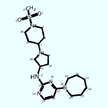 CS(=O)(=O)N1CCC(N2CCC(Nc3nccc(N4CCCCCC4)n3)C2)CC1